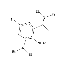 CCN(CC)c1cc(Br)cc(C(C)N(CC)CC)c1NC(C)=O